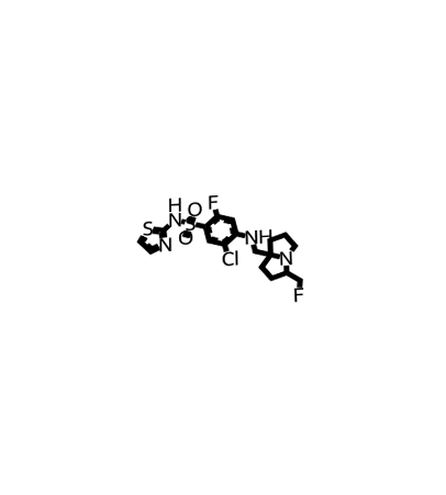 O=S(=O)(Nc1nccs1)c1cc(Cl)c(NCC23CCCN2C(CF)CC3)cc1F